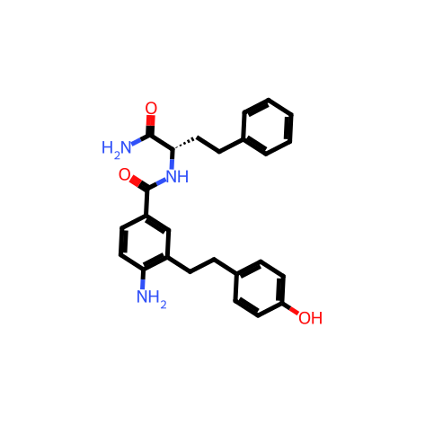 NC(=O)[C@H](CCc1ccccc1)NC(=O)c1ccc(N)c(CCc2ccc(O)cc2)c1